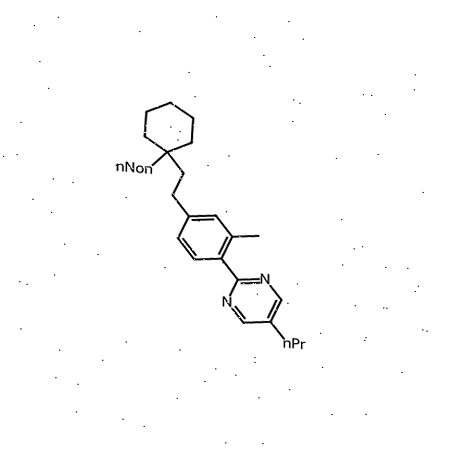 CCCCCCCCCC1(CCc2ccc(-c3ncc(CCC)cn3)c(C)c2)CCCCC1